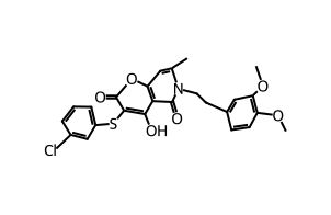 COc1ccc(CCn2c(C)cc3oc(=O)c(Sc4cccc(Cl)c4)c(O)c3c2=O)cc1OC